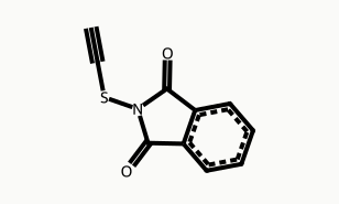 C#CSN1C(=O)c2ccccc2C1=O